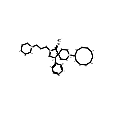 Cl.O=C1N(CCCN2CCCCC2)CN(c2ccccc2)C12CCN(C1CCCCCCCCC1)CC2